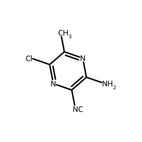 [C-]#[N+]c1nc(Cl)c(C)nc1N